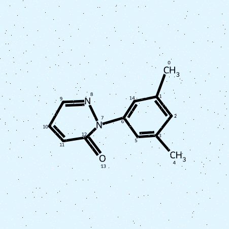 Cc1cc(C)cc(-n2ncccc2=O)c1